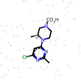 Cc1nc(Cl)cc(N2CCN(C(=O)O)C[C@@H]2C)n1